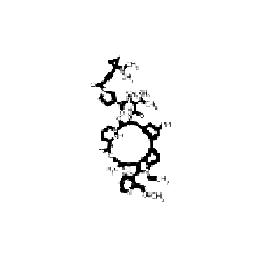 CCn1c(-c2cccnc2COC)c2c3cc(ccc31)-c1cc(O)cc(c1)C[C@H](NC(=O)[C@H](C(C)C)N(C)C(=O)[C@H]1CCN(C(=O)C#CC3(N(C)C)CC3)C1)C(=O)N1CCC[C@H](N1)C(=O)OCC(C)(C)C2